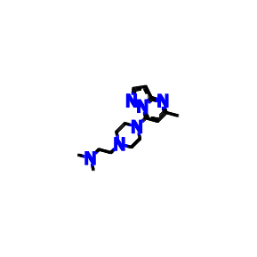 Cc1cc(N2CCN(CCN(C)C)CC2)n2nccc2n1